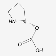 O=C(O)O[C@H]1CCCN1